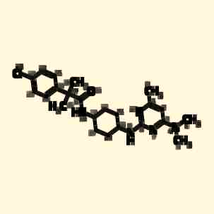 Cc1cc(N(C)C)nc(NC2CCC(NC(=O)C(C)(C)c3ccc(Cl)cc3)CC2)n1